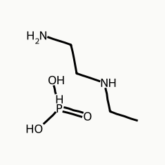 CCNCCN.O=[PH](O)O